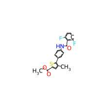 COC(=O)c1cc(C)c(-c2ccc(NC(=O)c3c(F)cccc3F)cc2)s1